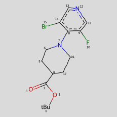 CC(C)(C)OC(=O)C1CCN(c2c(F)cncc2Br)CC1